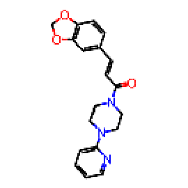 O=C(C=Cc1ccc2c(c1)OCO2)N1CCN(c2ccccn2)CC1